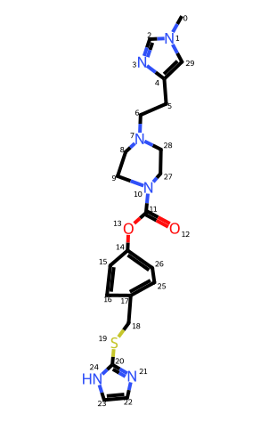 Cn1cnc(CCN2CCN(C(=O)Oc3ccc(CSc4ncc[nH]4)cc3)CC2)c1